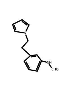 O=CNc1cccc(CCn2cccc2)c1